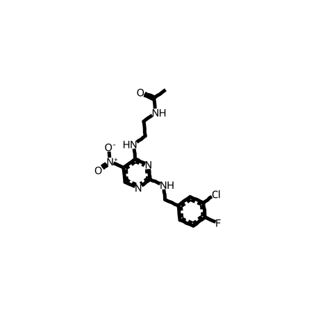 CC(=O)NCCNc1nc(NCc2ccc(F)c(Cl)c2)ncc1[N+](=O)[O-]